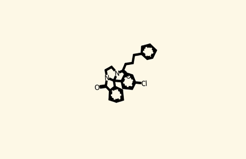 O=C(CCCc1ccccc1)N1CCN2C(=O)c3ccccc3C12c1ccc(Cl)cc1